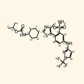 Cc1nc([C@H]2CC[C@H](NC(=O)OC(C)C)CC2)sc1-c1ccc(Nc2ccn(C(F)(F)F)n2)cc1S(N)(=O)=O